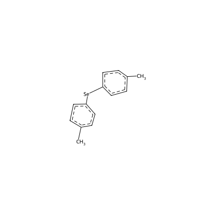 Cc1ccc([Se]c2ccc(C)cc2)cc1